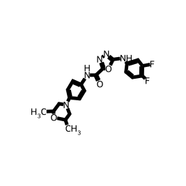 CC1CN(c2ccc(NC(=O)c3nnc(Nc4ccc(F)c(F)c4)o3)cc2)CC(C)O1